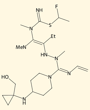 C=C/N=C(/N1CCC(NC2(CO)CC2)CC1)N(C)N/C(CC)=C(\NC)N(C)C(=N)SC(C)F